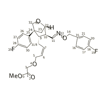 COC(=O)COC/C=C\C[C@H]1[C@H](C=NOCc2ccc(F)cc2)[C@@H]2C[C@@]1(c1ccc(F)cc1)CO2